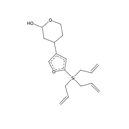 C=CC[Si](CC=C)(CC=C)c1cc(C2CCOC(O)C2)co1